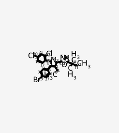 CCc1c(-c2nnc(C(C)(C)CC)o2)nn(-c2ccc(Cl)cc2Cl)c1-c1ccc(Br)cc1